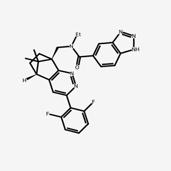 CCN(C[C@@]12CC[C@@H](c3cc(-c4c(F)cccc4F)nnc31)C2(C)C)C(=O)c1ccc2[nH]nnc2c1